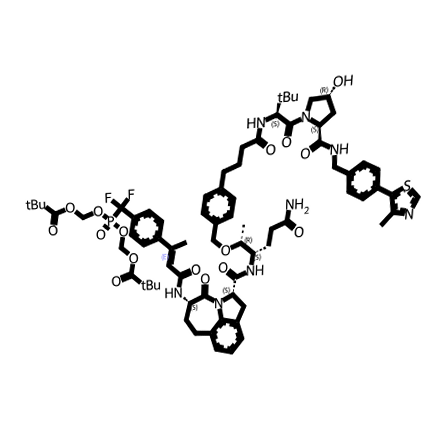 C/C(=C\C(=O)N[C@H]1CCc2cccc3c2N(C1=O)[C@H](C(=O)N[C@@H](CCC(N)=O)[C@@H](C)OCc1ccc(CCCC(=O)N[C@H](C(=O)N2C[C@H](O)C[C@H]2C(=O)NCc2ccc(-c4scnc4C)cc2)C(C)(C)C)cc1)C3)c1ccc(C(F)(F)P(=O)(OCOC(=O)C(C)(C)C)OCOC(=O)C(C)(C)C)cc1